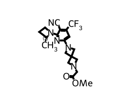 COC(=O)CN1CC2(C1)CN(c1cc(C(F)(F)F)c(C#N)c(N3CC[C@@H]3C)n1)C2